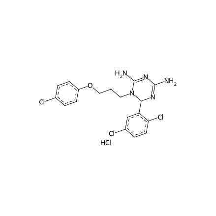 Cl.NC1=NC(c2cc(Cl)ccc2Cl)N(CCCOc2ccc(Cl)cc2)C(N)=N1